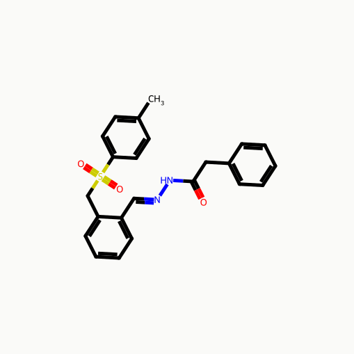 Cc1ccc(S(=O)(=O)Cc2ccccc2/C=N/NC(=O)Cc2ccccc2)cc1